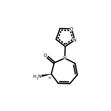 N[C@@H]1C=CC=CN(c2ccon2)C1=O